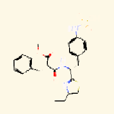 CCC1CSC([C@H](Cc2ccc(NS(=O)(=O)O)cc2)NC(=O)[C@H](Cc2ccccc2)C(=O)OC)=N1